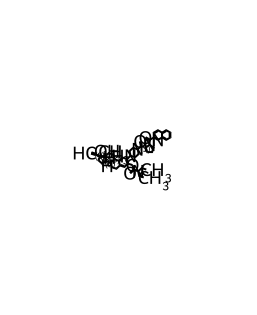 C#C[C@]1(O)CC[C@H]2[C@@H]3CCc4cc(OC(=O)N(CC)CC)c(N5CCN(C(=O)[C@@H]6CCCN6C(=O)c6ccc7ccccc7n6)CC5)cc4[C@H]3CC[C@@]21C